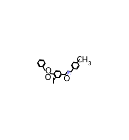 Cc1ccc(/C=C/C(=O)c2ccc(C(=O)OCc3ccccc3)c(I)c2)cc1